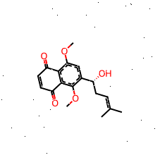 COc1cc([C@H](O)CC=C(C)C)c(OC)c2c1C(=O)C=CC2=O